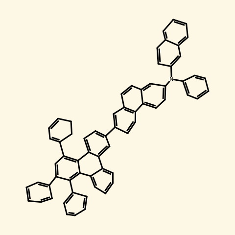 C1=CCCC(c2cc(-c3ccccc3)c(-c3ccccc3)c3c4ccccc4c4cc(-c5ccc6c(ccc7cc(N(c8ccccc8)c8ccc9ccccc9c8)ccc76)c5)ccc4c23)=C1